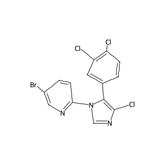 Clc1ccc(-c2c(Cl)ncn2-c2ccc(Br)cn2)cc1Cl